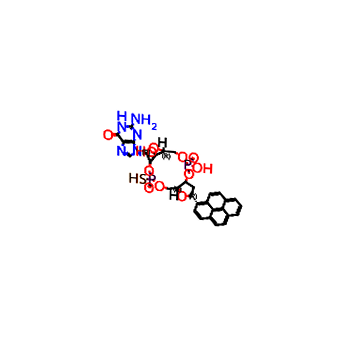 Nc1nc2c(ncn2[C@@H]2O[C@@H]3COP(=O)(O)OC4C[C@H](c5ccc6ccc7cccc8ccc5c6c78)O[C@@H]4COP(=O)(S)OC2C3O)c(=O)[nH]1